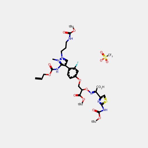 C=CCOC(=O)Nc1c(-c2ccc(OCC(O/N=C(\C(=O)O)c3csc(NC(=O)OC(C)(C)C)n3)C(=O)OC(C)(C)C)cc2F)cn(CCCNC(=O)OC(C)(C)C)[n+]1C.O=S(=O)([O-])C(F)(F)F